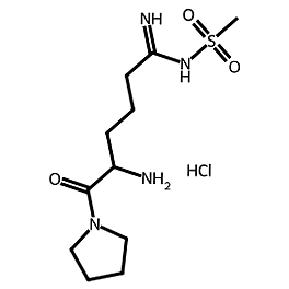 CS(=O)(=O)NC(=N)CCCC(N)C(=O)N1CCCC1.Cl